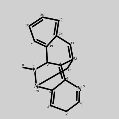 CN1C2C3=C4N=CCC=C4N1CC3=Cc1ccccc12